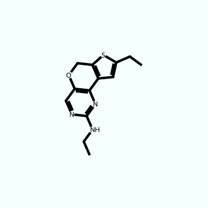 CCNc1ncc2c(n1)-c1cc(CC)sc1CO2